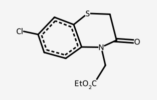 CCOC(=O)CN1C(=O)CSc2cc(Cl)ccc21